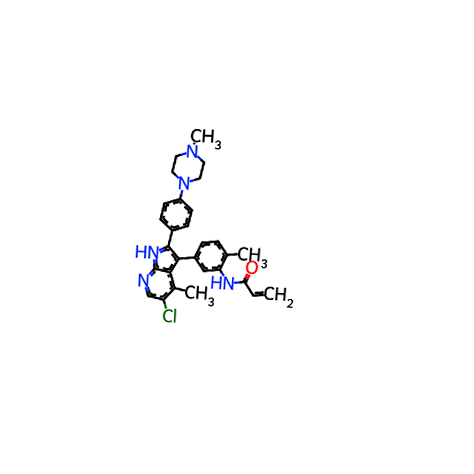 C=CC(=O)Nc1cc(-c2c(-c3ccc(N4CCN(C)CC4)cc3)[nH]c3ncc(Cl)c(C)c23)ccc1C